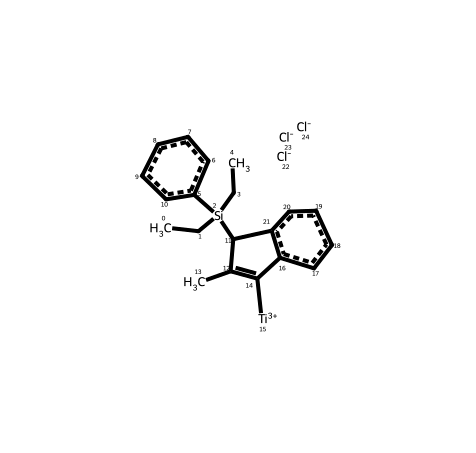 CC[Si](CC)(c1ccccc1)C1C(C)=[C]([Ti+3])c2ccccc21.[Cl-].[Cl-].[Cl-]